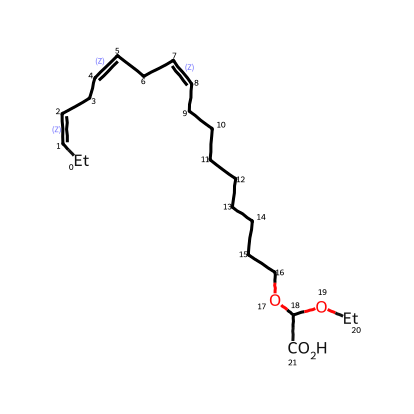 CC/C=C\C/C=C\C/C=C\CCCCCCCCOC(OCC)C(=O)O